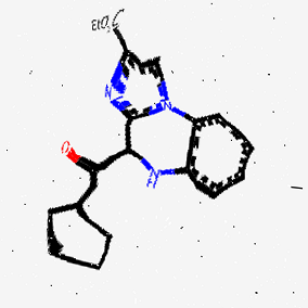 CCOC(=O)c1cn2c(n1)C(C(=O)C1CCCC1)Nc1ccccc1-2